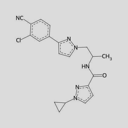 CC(Cn1ccc(-c2ccc(C#N)c(Cl)c2)n1)NC(=O)c1ccn(C2CC2)n1